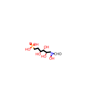 O=CN(O)C[C@@H](O)[C@@H](O)[C@H](O)CCP(=O)(O)O